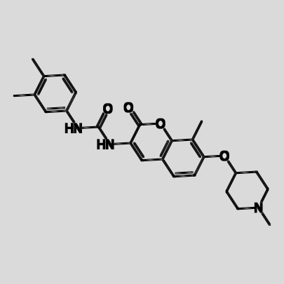 Cc1ccc(NC(=O)Nc2cc3ccc(OC4CCN(C)CC4)c(C)c3oc2=O)cc1C